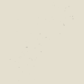 CC(C)(CCC(OC(=O)c1ccccc1)[C@](C)(O)[C@H]1CC[C@@]2(O)C3=CC(=O)[C@@H]4C[C@@H](O)[C@@H](O)C[C@]4(C)[C@H]3CC[C@]12C)OC1O[C@H](CO)[C@@H](O)[C@H](O)[C@H]1O